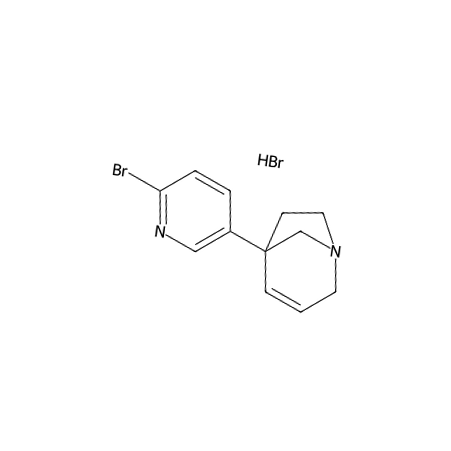 Br.Brc1ccc(C23C=CCN(CC2)C3)cn1